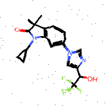 CC1(C)C(=O)N(C2CC2)c2cc(-n3cnc(C(O)C(F)(F)F)c3)ccc21